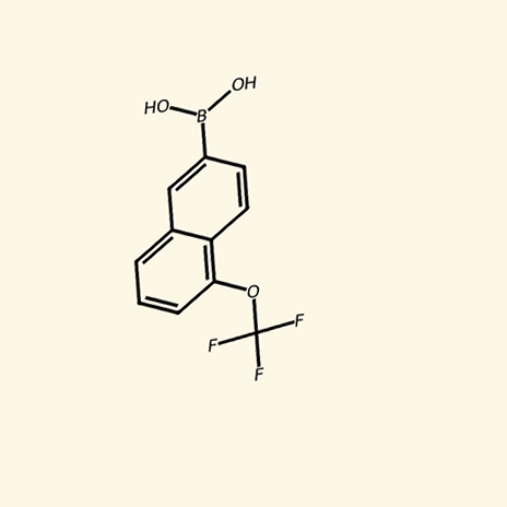 OB(O)c1ccc2c(OC(F)(F)F)cccc2c1